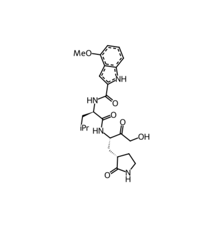 COc1cccc2[nH]c(C(=O)N[C@H](CC(C)C)C(=O)N[C@@H](C[C@@H]3CCNC3=O)C(=O)CO)cc12